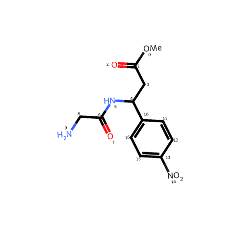 COC(=O)CC(NC(=O)CN)c1ccc([N+](=O)[O-])cc1